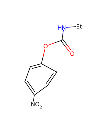 CCNC(=O)Oc1ccc([N+](=O)[O-])cc1